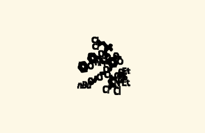 CC1(C)C(C=C(Cl)Cl)C1C(=O)OC(C#N)c1cccc(Oc2ccccc2)c1.CCCCOCCOCCOCc1cc2c(cc1CCC)OCO2.CCOP(=S)(OCC)Oc1nc(Cl)c(Cl)cc1Cl